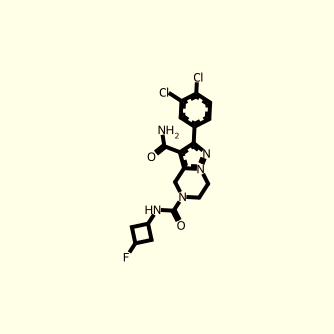 NC(=O)c1c(-c2ccc(Cl)c(Cl)c2)nn2c1CN(C(=O)NC1CC(F)C1)CC2